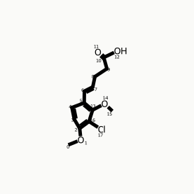 COc1ccc(C=CCCC(=O)O)c(OC)c1Cl